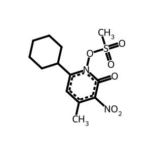 Cc1cc(C2CCCCC2)n(OS(C)(=O)=O)c(=O)c1[N+](=O)[O-]